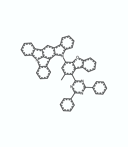 Cc1cc(-n2c3ccccc3c3cc4c5ccccc5n5c6ccccc6c(c32)c45)c2oc3ccccc3c2c1-c1nc(-c2ccccc2)nc(-c2ccccc2)n1